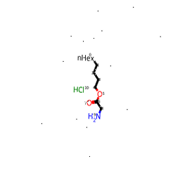 CCCCCCCCCCOC(=O)CN.Cl